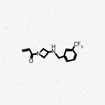 C=CC(=O)N1CC(NCc2cccc(C(F)(F)F)c2)C1